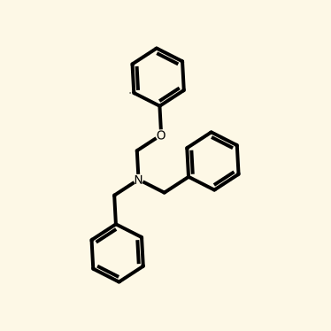 [c]1ccccc1OCN(Cc1ccccc1)Cc1ccccc1